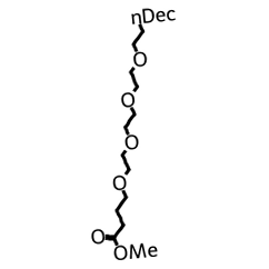 CCCCCCCCCCCCOCCOCCOCCOCCCC(=O)OC